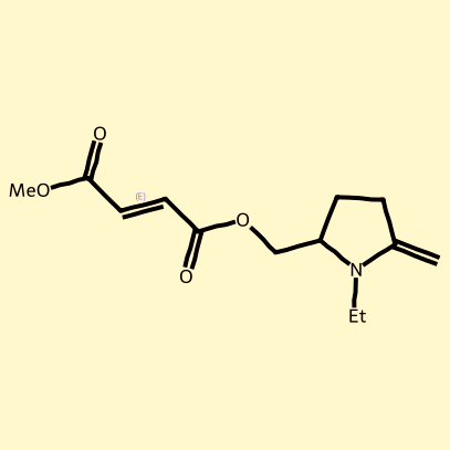 C=C1CCC(COC(=O)/C=C/C(=O)OC)N1CC